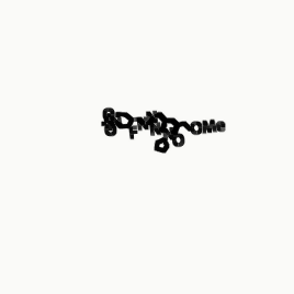 COCCc1cc2cnc(/N=C/[C@@H]3CCN(S(C)(=O)=O)C[C@H]3F)nc2n(C2CCCC2)c1=O